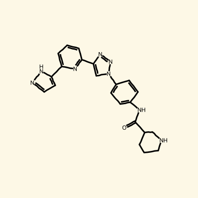 O=C(Nc1ccc(-n2cc(-c3cccc(-c4ccn[nH]4)n3)nn2)cc1)C1CCCNC1